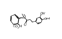 O=C(CCc1ccc(O)c(O)c1)Nc1ccccc1C(=O)O